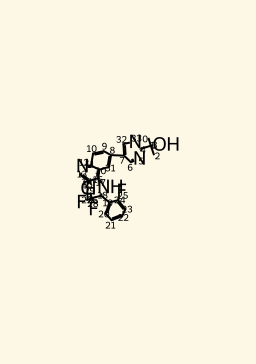 CC(C)(O)c1ncc(-c2ccc3ncc(Cl)c(NC(c4ccccc4F)C(F)(F)F)c3c2)cn1